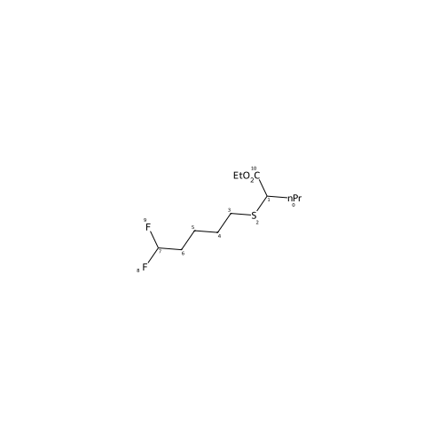 CCCC(SCCCCC(F)F)C(=O)OCC